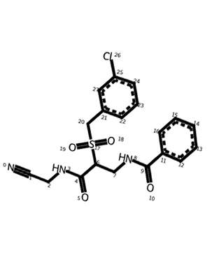 N#CCNC(=O)C(CNC(=O)c1ccccc1)S(=O)(=O)Cc1cccc(Cl)c1